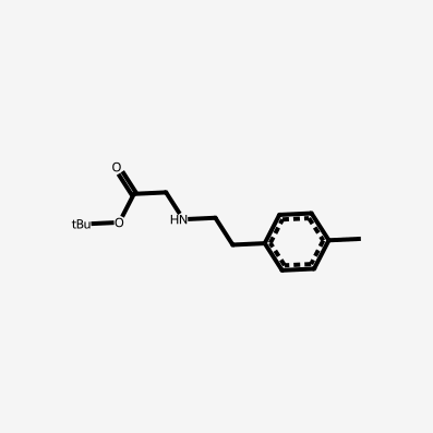 Cc1ccc(CCNCC(=O)OC(C)(C)C)cc1